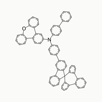 c1ccc(-c2ccc(N(c3ccc(-c4ccc5c(c4)-c4ccccc4C54c5ccccc5-c5ccccc5-c5ccccc54)cc3)c3ccc4c(c3)-c3ccccc3Oc3ccccc3-4)cc2)cc1